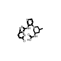 CC1CC(NC(=O)O)CN(c2ccncc2Nc2nnc3ccc(Cl)nn23)C1